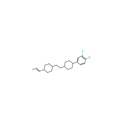 CC=CC1CCC(CCC2CCC(c3ccc(F)c(F)c3)CC2)CC1